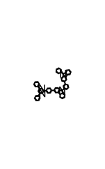 C1=CCC2C(=C1)N(c1cccc(-c3ccc4c(c3)c3ccccc3n4-c3ccccc3)c1)c1ccc(-c3ccc(-c4nc(-c5ccccc5)cc(-c5ccccc5)n4)cc3)cc12